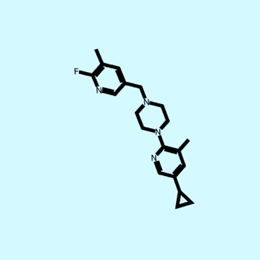 Cc1cc(CN2CCN(c3ncc(C4CC4)cc3C)CC2)cnc1F